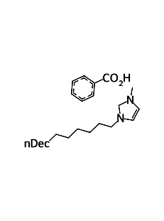 CCCCCCCCCCCCCCCCN1C=CN(C)C1.O=C(O)c1ccccc1